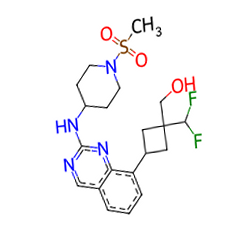 CS(=O)(=O)N1CCC(Nc2ncc3cccc(C4CC(CO)(C(F)F)C4)c3n2)CC1